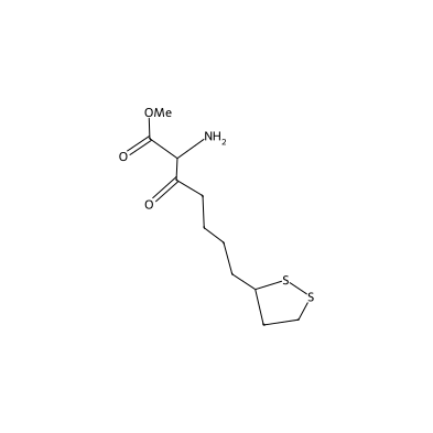 COC(=O)C(N)C(=O)CCCCC1CCSS1